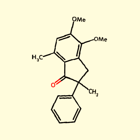 COc1cc(C)c2c(c1OC)CC(C)(c1ccccc1)C2=O